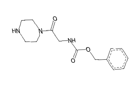 O=C(NCC(=O)N1CCNCC1)OCc1ccccc1